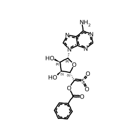 Nc1ncnc2c1ncn2[C@@H]1O[C@H](C(OC(=O)c2ccccc2)=S(=O)=O)[C@@H](O)[C@H]1O